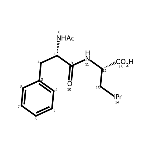 CC(=O)N[C@@H](Cc1ccccc1)C(=O)N[C@@H](CC(C)C)C(=O)O